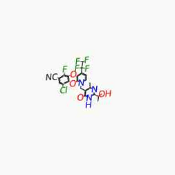 Cc1nc(C(C)O)[nH]c(=O)c1Cn1ccc(C(F)(F)C(F)F)c(Oc2cc(Cl)cc(C#N)c2F)c1=O